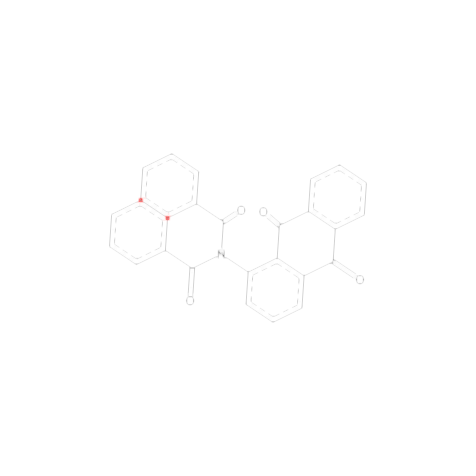 O=C1c2ccccc2C(=O)c2c1cccc2N(C(=O)c1ccccc1)C(=O)c1ccccc1